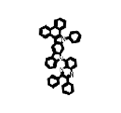 C1=C2c3ccccc3N(c3cccc4nc(-c5ccccc5)c(-c5ccccc5)nc34)C2Cc2c1c1c3ccccc3c3ccccc3c1n2-c1ccccc1